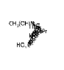 CC(C)[C@@H]1CC[C@]2(C(=O)NCCN(C)O)CC[C@]3(C)[C@H](CCC4[C@@]5(C)CC=C(c6ccc(C(=O)O)cc6)C(C)(C)[C@@H]5CC[C@]43C)[C@@H]12